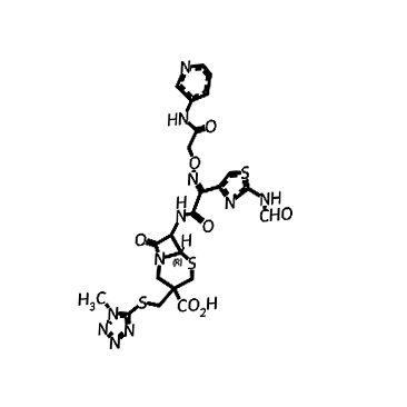 Cn1nnnc1SCC1(C(=O)O)CS[C@@H]2C(NC(=O)C(=NOCC(=O)Nc3cccnc3)c3csc(NC=O)n3)C(=O)N2C1